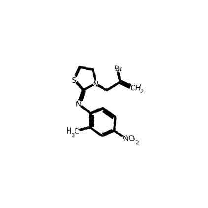 C=C(Br)CN1CCSC1=Nc1ccc([N+](=O)[O-])cc1C